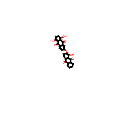 O=C1c2ccccc2C(=O)c2c1ccc(Oc1ccc3c(c1)C(=O)c1c(O)ccc(O)c1C3=O)c2O